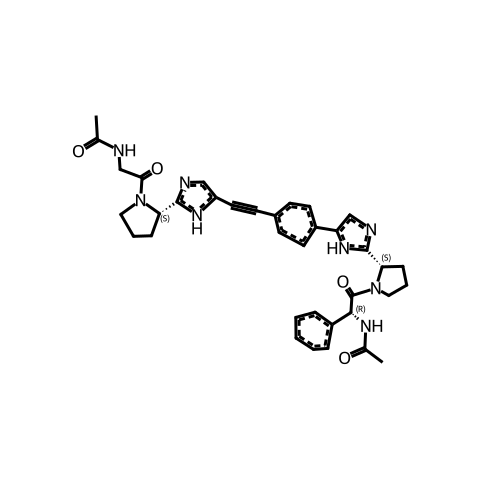 CC(=O)NCC(=O)N1CCC[C@H]1c1ncc(C#Cc2ccc(-c3cnc([C@@H]4CCCN4C(=O)[C@H](NC(C)=O)c4ccccc4)[nH]3)cc2)[nH]1